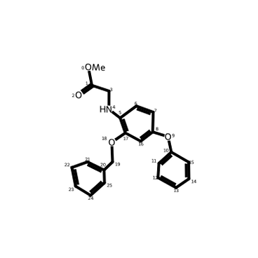 COC(=O)CNc1ccc(Oc2ccccc2)cc1OCc1ccccc1